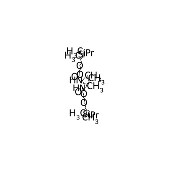 CC(C)[Si](C)(C)CCCOCCOC(=O)NCC1(C)CC(NC(=O)OCCOCCC[Si](C)(C)C(C)C)CC(C)(C)C1